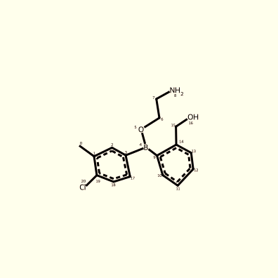 Cc1cc(B(OCCN)c2ccccc2CO)ccc1Cl